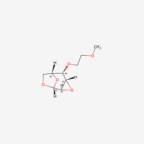 COCCO[C@H]1[C@@H]2O[C@H]2[C@@H]2OC[C@H]1O2